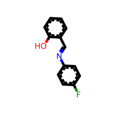 Oc1ccccc1/C=N/c1ccc(F)cc1